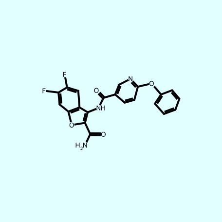 NC(=O)c1oc2cc(F)c(F)cc2c1NC(=O)c1ccc(Oc2ccccc2)nc1